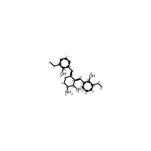 CCc1cccc(C=C2CCC(N)C(N)C2=Cc2cccc(CC)c2O)c1O